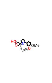 CCCOc1cc(-c2cccc([C@@]3(C)COB(O)C3)n2)ccc1OC